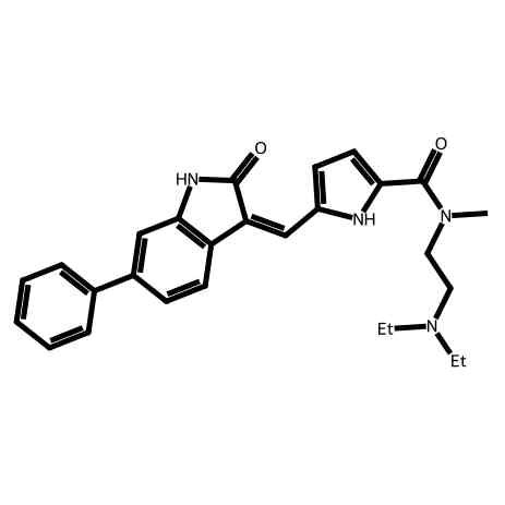 CCN(CC)CCN(C)C(=O)c1ccc(C=C2C(=O)Nc3cc(-c4ccccc4)ccc32)[nH]1